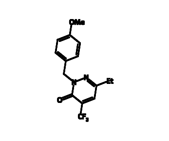 CCc1cc(C(F)(F)F)c(=O)n(Cc2ccc(OC)cc2)n1